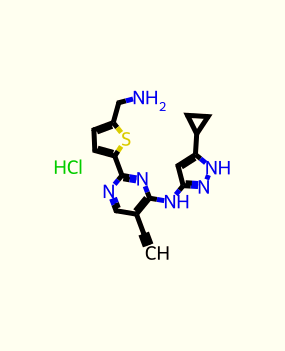 C#Cc1cnc(-c2ccc(CN)s2)nc1Nc1cc(C2CC2)[nH]n1.Cl